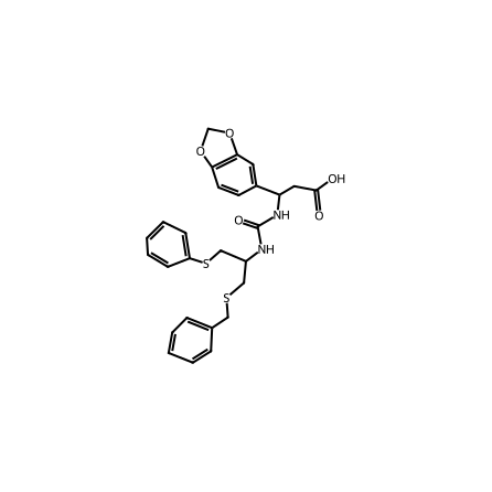 O=C(O)CC(NC(=O)NC(CSCc1ccccc1)CSc1ccccc1)c1ccc2c(c1)OCO2